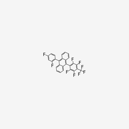 Fc1ccc(-c2c3ccccc3c(-c3c(F)c(F)c(C(F)(F)F)c(F)c3F)c3ccccc23)c(F)c1